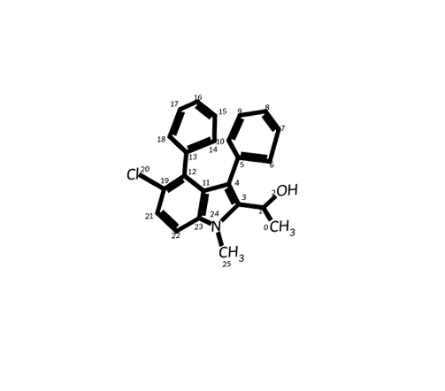 CC(O)c1c(-c2ccccc2)c2c(-c3ccccc3)c(Cl)ccc2n1C